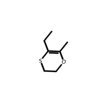 CCC1=C(C)OCCS1